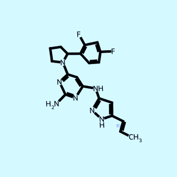 C/C=C/c1cc(Nc2cc(N3CCCC3c3ccc(F)cc3F)nc(N)n2)n[nH]1